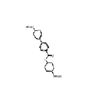 CCCCCCCC1CCC(OC(=O)c2ccc(C3=CCC(CCCCC)CC3)cc2)CC1